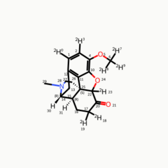 [2H]c1c([2H])c(OC([2H])([2H])[2H])c2c3c1C[C@@H]1[C@@H]4CC([2H])([2H])C(=O)C([2H])(O2)[C@]34CCN1C